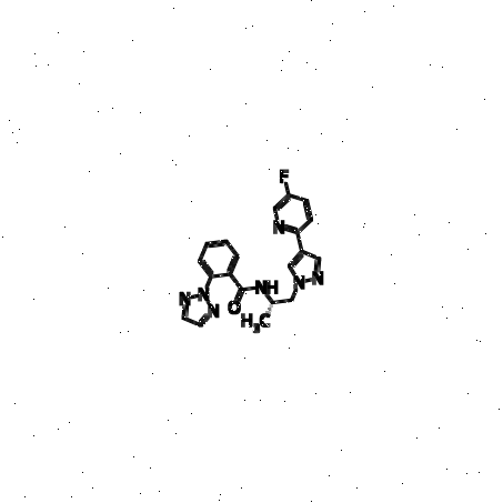 C[C@@H](Cn1cc(-c2ccc(F)cn2)cn1)NC(=O)c1ccccc1-n1nccn1